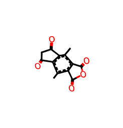 Cc1c2c(c(C)c3c1C(=O)OC3=O)C(=O)CC2=O